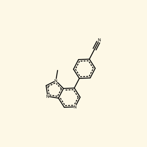 Cn1cnc2cncc(-c3ccc(C#N)cc3)c21